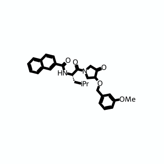 COc1cccc(COC2CN(C(=O)[C@H](CC(C)C)NC(=O)c3ccc4ccccc4c3)CC2=O)c1